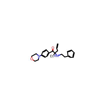 C=CCC(CC)(NCCc1ccccc1)C(=O)c1ccc(N2CCOCC2)cc1